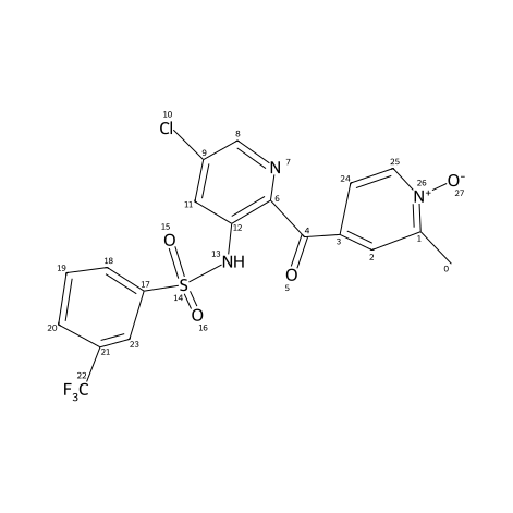 Cc1cc(C(=O)c2ncc(Cl)cc2NS(=O)(=O)c2cccc(C(F)(F)F)c2)cc[n+]1[O-]